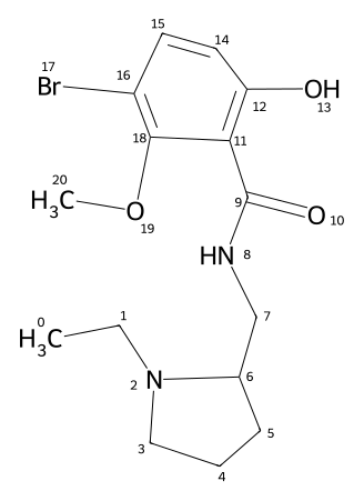 CCN1CCCC1CNC(=O)c1c(O)ccc(Br)c1OC